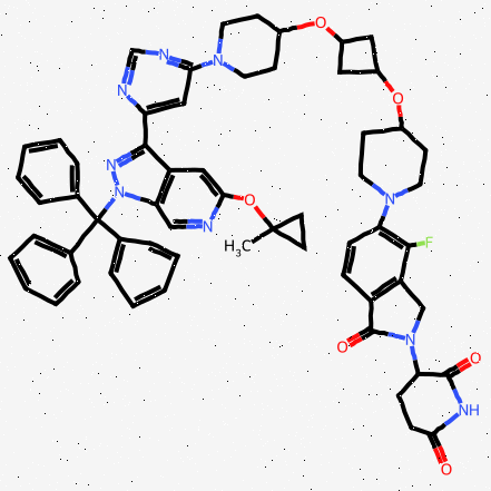 CC1(Oc2cc3c(-c4cc(N5CCC(OC6CC(OC7CCN(c8ccc9c(c8F)CN(C8CCC(=O)NC8=O)C9=O)CC7)C6)CC5)ncn4)nn(C(c4ccccc4)(c4ccccc4)c4ccccc4)c3cn2)CC1